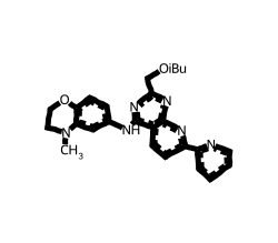 CC(C)COCc1nc(Nc2ccc3c(c2)N(C)CCO3)c2ccc(-c3ccccn3)nc2n1